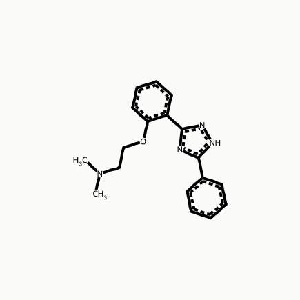 CN(C)CCOc1ccccc1-c1n[nH]c(-c2ccccc2)n1